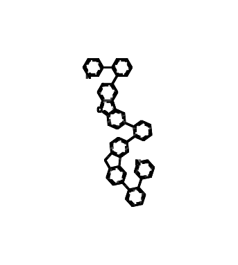 c1cncc(-c2ccccc2-c2ccc3c(c2)-c2cc(-c4ccccc4-c4ccc5oc6ccc(-c7ccccc7-c7cccnc7)cc6c5c4)ccc2C3)c1